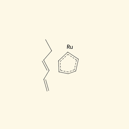 C=CC=CCC.[Ru].c1ccccc1